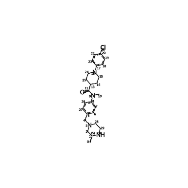 C[C@H]1CN(Cc2ccc(N(C)C(=O)C3CCN(c4ccc(Cl)cc4)CC3)cc2)CCN1